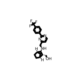 OC[C@@H]1[C@H]2CC[C@H](C2)[C@H]1NCc1ccnc(-c2ccc(C(F)(F)F)cc2)n1